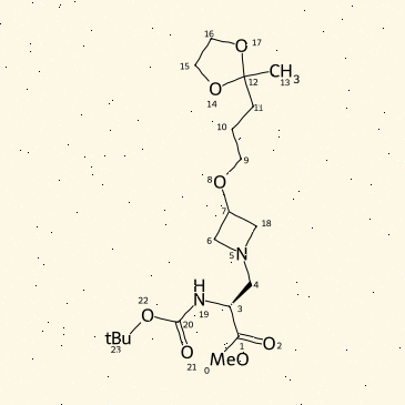 COC(=O)[C@H](CN1CC(OCCCC2(C)OCCO2)C1)NC(=O)OC(C)(C)C